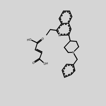 CCc1nc(C2CCN(Cc3ccccc3)CC2)cc2ccccc12.O=C(O)C=CC(=O)O